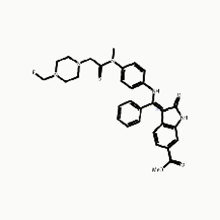 COC(=O)c1ccc2c(c1)NC(=O)/C2=C(\Nc1ccc(N(C)C(=O)CN2CCN(CF)CC2)cc1)c1ccccc1